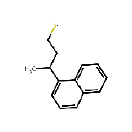 CC(CC[S])c1cccc2ccccc12